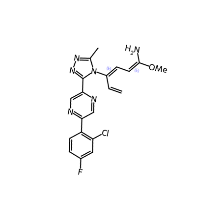 C=C/C(=C\C=C(/N)OC)n1c(C)nnc1-c1cnc(-c2ccc(F)cc2Cl)cn1